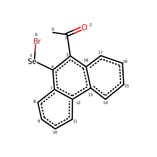 CC(=O)c1c([Se]Br)c2ccccc2c2ccccc12